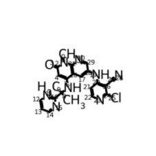 Cn1c(=O)cc(NC(C)(C)c2ncccn2)c2cc(Nc3ccnc(Cl)c3C#N)cnc21